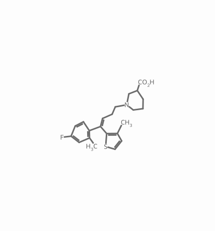 Cc1cc(F)ccc1C(=CCCN1CCCC(C(=O)O)C1)c1sccc1C